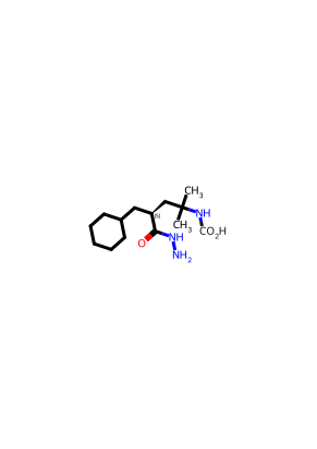 CC(C)(C[C@H](CC1CCCCC1)C(=O)NN)NC(=O)O